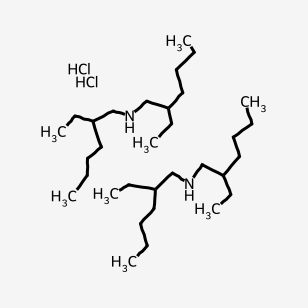 CCCCC(CC)CNCC(CC)CCCC.CCCCC(CC)CNCC(CC)CCCC.Cl.Cl